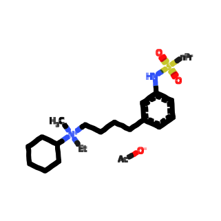 CC(=O)[O-].CCCS(=O)(=O)Nc1cccc(CCCC[N+](C)(CC)C2CCCCC2)c1